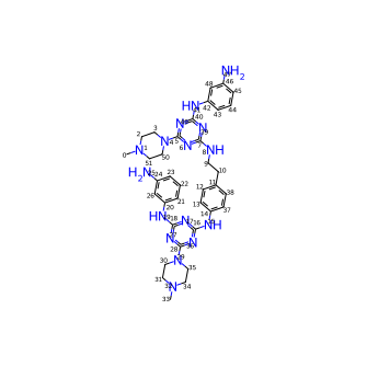 CN1CCN(c2nc(NCCc3ccc(Nc4nc(Nc5cccc(N)c5)nc(N5CCN(C)CC5)n4)cc3)nc(Nc3cccc(N)c3)n2)CC1